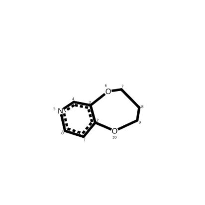 [c]1cc2c(cn1)OCCCO2